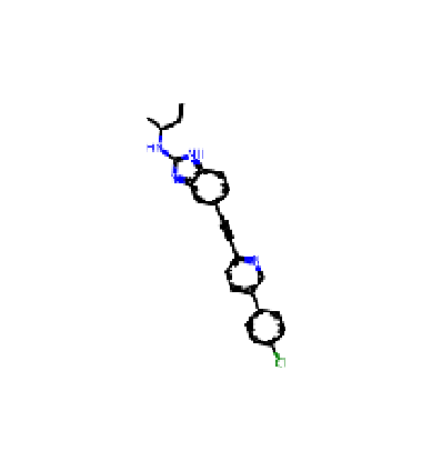 CCC(C)Nc1nc2cc(C#Cc3ccc(-c4ccc(Cl)cc4)cn3)ccc2[nH]1